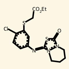 CCOC(=O)CSc1cc(N=c2sc(=O)n3n2CCCC3)ccc1Cl